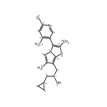 CCCN(Cc1c(C)nn2c(-c3cnc(Cl)cc3C)c(C)oc12)CC1CC1